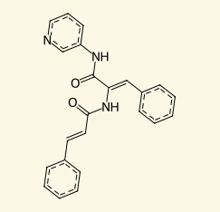 O=C(/C=C/c1ccccc1)N/C(=C\c1ccccc1)C(=O)Nc1cccnc1